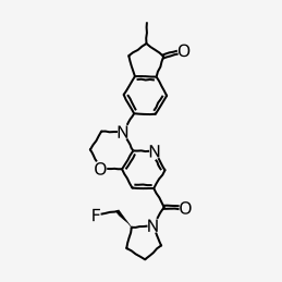 CC1Cc2cc(N3CCOc4cc(C(=O)N5CCC[C@H]5CF)cnc43)ccc2C1=O